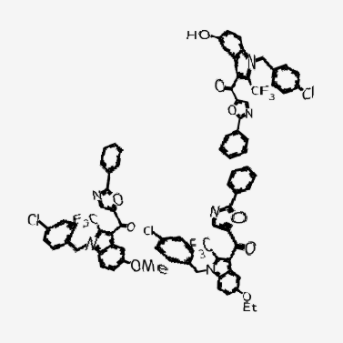 CCOc1ccc2c(c1)c(C(=O)c1cnc(-c3ccccc3)o1)c(C(F)(F)F)n2Cc1ccc(Cl)cc1.COc1ccc2c(c1)c(C(=O)c1cnc(-c3ccccc3)o1)c(C(F)(F)F)n2Cc1ccc(Cl)cc1.O=C(c1cnc(-c2ccccc2)o1)c1c(C(F)(F)F)n(Cc2ccc(Cl)cc2)c2ccc(O)cc12